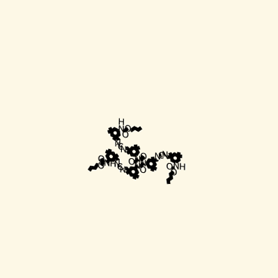 CCCCOC(=O)NC1CC(C)(C)CC(C)(CN=C=NCC2(C)CC(n3c(=O)n(C4CC(C)(C)CC(C)(CN=C=NCC5(C)CC(NC(=O)OCCCC)CC(C)(C)C5)C4)c(=O)n(C4CC(C)(C)CC(C)(CN=C=NCC5(C)CC(NC(=O)OCCCC)CC(C)(C)C5)C4)c3=O)CC(C)(C)C2)C1